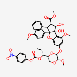 CC[C@@H](OC(=O)Oc1ccc([N+](=O)[O-])cc1)[C@H]1CO[C@@H](OC)[C@H](Oc2cc(OC)c3c(c2)O[C@@]2(c4ccc(OC)cc4)[C@H](c4ccccc4)[C@@H](C(=O)OC)[C@@H](O)[C@@]32O)O1